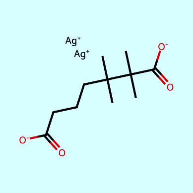 CC(C)(CCCC(=O)[O-])C(C)(C)C(=O)[O-].[Ag+].[Ag+]